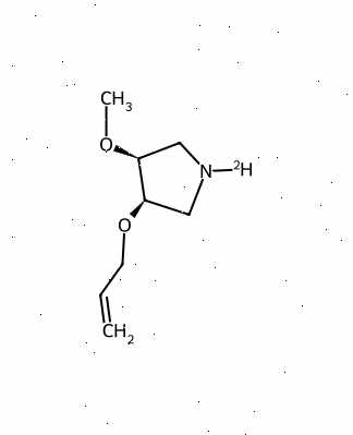 [2H]N1C[C@H](OC)[C@H](OCC=C)C1